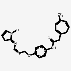 CCN1C=CC/C1=N\C=N/COc1ccc(NC(=O)CC2=CC=C(C(F)(F)F)C=CC2)cc1